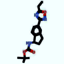 CCc1nc(-c2ccc3c(c2)CCC3NC(=O)OC(C)(C)C)no1